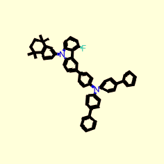 CC1(C)CCC(C)(C)c2cc(-n3c4ccc(-c5ccc(N(c6ccc(-c7ccccc7)cc6)c6ccc(-c7ccccc7)cc6)cc5)cc4c4c(F)cccc43)ccc21